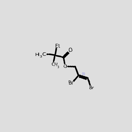 CCC(C)(C)C(=O)OC/C(Br)=C/Br